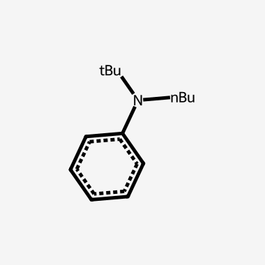 CCCCN(c1ccccc1)C(C)(C)C